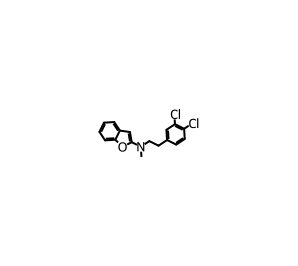 CN(CCc1ccc(Cl)c(Cl)c1)c1cc2ccccc2o1